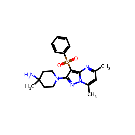 Cc1cc(C)n2nc(N3CCC(C)(N)CC3)c(S(=O)(=O)c3ccccc3)c2n1